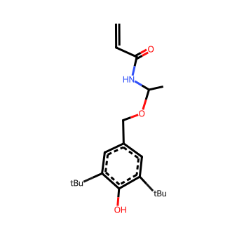 C=CC(=O)NC(C)OCc1cc(C(C)(C)C)c(O)c(C(C)(C)C)c1